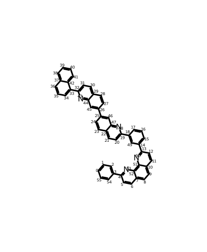 c1ccc(-c2ccc3ccc4ccc(-c5cccc(-c6ccc7ccc(-c8ccc9ccc(-c%10cccc%11ccccc%10%11)nc9c8)cc7n6)c5)nc4c3n2)cc1